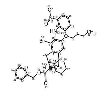 CCCCOc1cc2c(c(Br)c1Nc1ccccc1[N+](=O)[O-])C[C@H]1[C@H]3CCCC[C@@]23CCN1C(=O)OCc1ccccc1